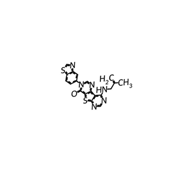 C=C(C)CNc1ncnc2sc3c(=O)n(-c4ccc5scnc5c4)cnc3c12